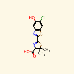 CC1(C)SC(c2nc3cc(O)c(Cl)cc3s2)=NC1C(=O)O